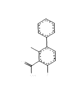 Cc1c(-c2ccccc2)ccc(F)c1C(=O)O